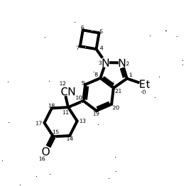 CCc1nn(C2CCC2)c2cc(C3(C#N)CCC(=O)CC3)ccc12